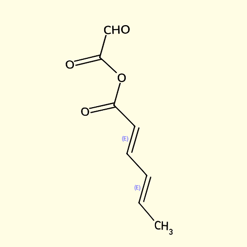 C/C=C/C=C/C(=O)OC(=O)C=O